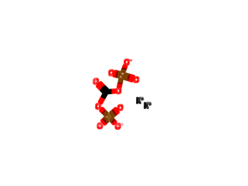 O=C(OS(=O)(=O)[O-])OS(=O)(=O)[O-].[K+].[K+]